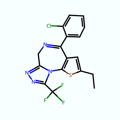 CCc1cc2c(s1)-n1c(nnc1C(F)(F)F)CN=C2c1ccccc1Cl